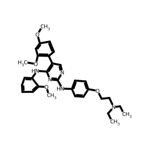 CCN(CC)CCOc1ccc(Nc2ncc(-c3ccc(OC)cc3OC)c(Nc3ccccc3OC)n2)cc1